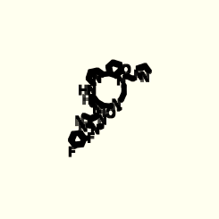 CN1CCCN(C(=O)Cn2cccn2)c2ccccc2-c2cccc(n2)N[C@H]2C[C@@H](C1=O)N(c1ncnc3c1cnn3-c1ccc(F)cc1F)C2